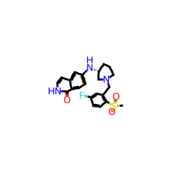 CS(=O)(=O)c1ccc(F)cc1CN1CCC[C@@H](Nc2ccc3c(=O)[nH]ccc3c2)C1